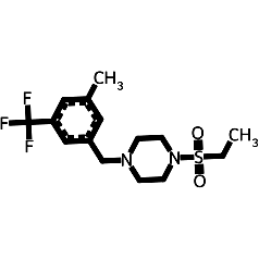 CCS(=O)(=O)N1CCN(Cc2cc(C)cc(C(F)(F)F)c2)CC1